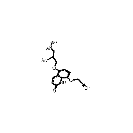 C#CCOc1ccc(OCC(O)CNC(C)(C)C)c2ccc(=O)[nH]c12